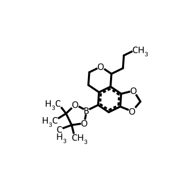 CCCC1OCCc2c(B3OC(C)(C)C(C)(C)O3)cc3c(c21)OCO3